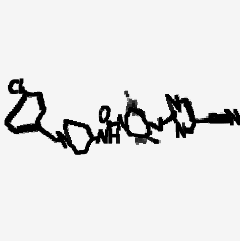 C[C@@H]1CN(c2ncc(C#N)cn2)[C@@H](C)CN1C(=O)NC1CCN(Cc2ccc(Cl)cc2)CC1